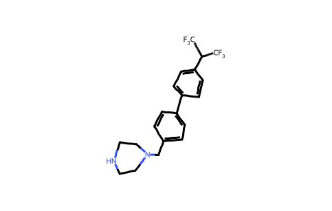 FC(F)(F)C(c1ccc(-c2ccc(CN3CCNCC3)cc2)cc1)C(F)(F)F